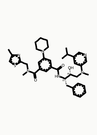 Cc1csc(CN(C)C(=O)c2cc(C(=O)N[C@@H](Cc3ccccc3)[C@H](O)CN(C)c3cncc(C(C)C)c3)cc(N3CCCCC3)c2)n1